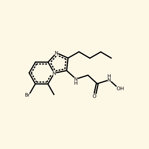 CCCCc1nc2ccc(Br)c(C)n2c1NCC(=O)NO